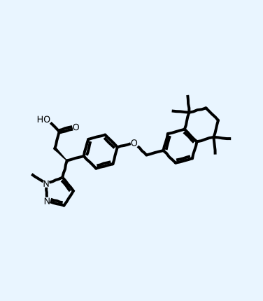 Cn1nccc1[C@@H](CC(=O)O)c1ccc(OCc2ccc3c(c2)C(C)(C)CCC3(C)C)cc1